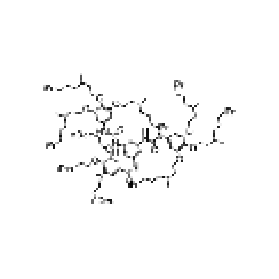 CCCCCCCCCCCCOc1cc(C(=O)Nc2cc(NC(=O)Nc3cc(OCCC(C)CCCC(C)C)c(OCCC(C)CCCC(C)C)c(OCCC(C)CCCC(C)C)c3)cc(NC(=O)Nc3cc(OCCC(C)CCCC(C)C)c(OCCC(C)CCCC(C)C)c(OCCC(C)CCCC(C)C)c3)c2)cc(OCCCCCCCCCCCC)c1OCCCCCCCCCCCC